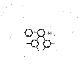 Cc1cc(C)cc(-c2c(N)ccc(-c3ccccc3)c2-c2cc(C)cc(C)c2)c1